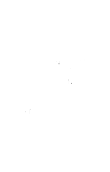 CCN1C(=O)[N]c2ccc(Cl)cc21